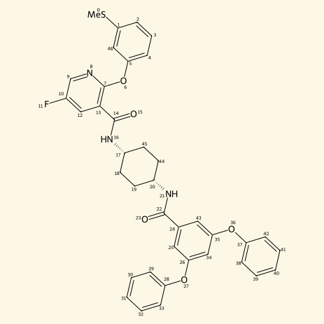 CSc1cccc(Oc2ncc(F)cc2C(=O)N[C@H]2CC[C@@H](NC(=O)c3cc(Oc4ccccc4)cc(Oc4ccccc4)c3)CC2)c1